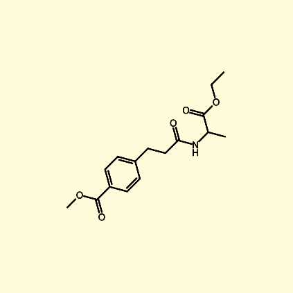 CCOC(=O)C(C)NC(=O)CCc1ccc(C(=O)OC)cc1